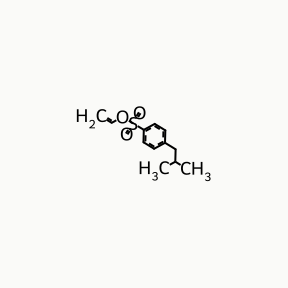 C=COS(=O)(=O)c1ccc(CC(C)C)cc1